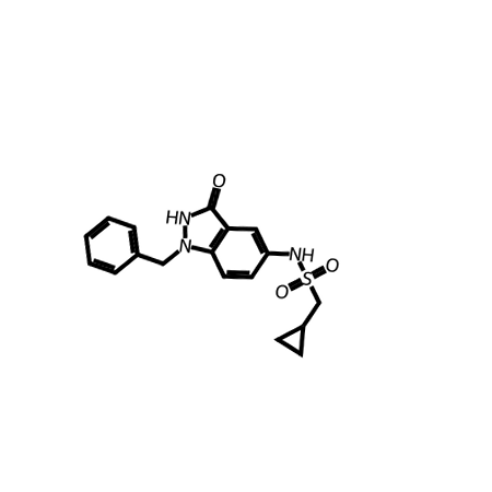 O=c1[nH]n(Cc2ccccc2)c2ccc(NS(=O)(=O)CC3CC3)cc12